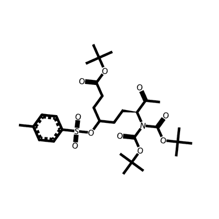 CC(=O)[C@H](CCC(CCC(=O)OC(C)(C)C)OS(=O)(=O)c1ccc(C)cc1)N(C(=O)OC(C)(C)C)C(=O)OC(C)(C)C